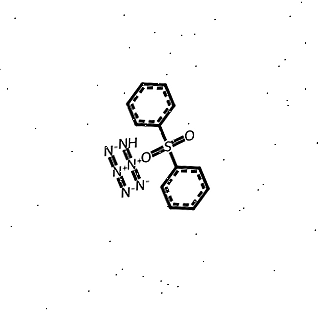 O=S(=O)(c1ccccc1)c1ccccc1.[N-]=[N+]=N.[N-]=[N+]=[N-]